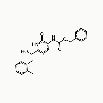 Cc1ccccc1CC(O)c1ncc(NC(=O)OCc2ccccc2)c(=O)[nH]1